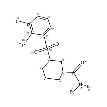 CCN(CC)C(=O)C1CCCC(S(=O)(=O)c2cccc(Cl)c2C)C1